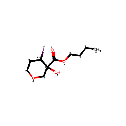 CCCCOC(=O)C1(O)COCCC1I